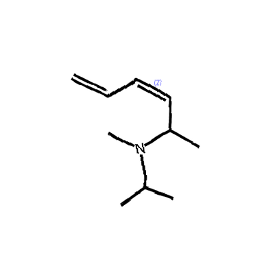 C=C/C=C\C(C)N(C)C(C)C